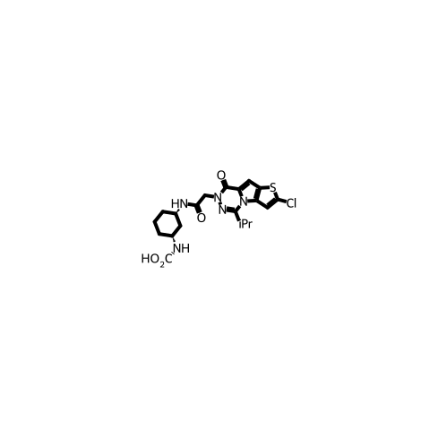 CC(C)c1nn(CC(=O)N[C@H]2CCC[C@@H](NC(=O)O)C2)c(=O)c2cc3sc(Cl)cc3n12